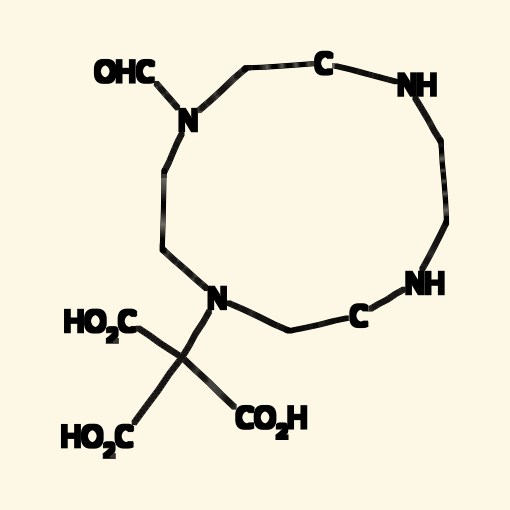 O=CN1CCNCCNCCN(C(C(=O)O)(C(=O)O)C(=O)O)CC1